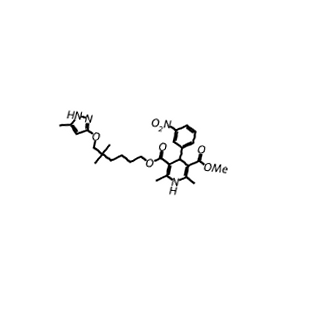 COC(=O)C1=C(C)NC(C)=C(C(=O)OCCCCC(C)(C)COc2cc(C)[nH]n2)C1c1cccc([N+](=O)[O-])c1